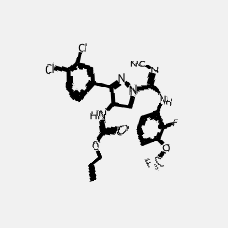 C=CCOC(=O)NC1CN(/C(=N\C#N)Nc2cccc(OC(F)(F)F)c2F)N=C1c1ccc(Cl)c(Cl)c1